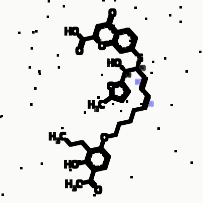 CCCc1c(OCCCC/C=C\C=C\[C@H](Sc2ccc3c(=O)cc(C(=O)O)oc3c2)[C@H](O)c2ccc(C)o2)ccc(C(C)=O)c1O